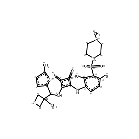 Cc1ccc(C(Nc2c(Nc3ccc(Cl)c(S(=O)(=O)N4CCN(C)CC4)c3O)c(=O)c2=O)C2(C)COC2)o1